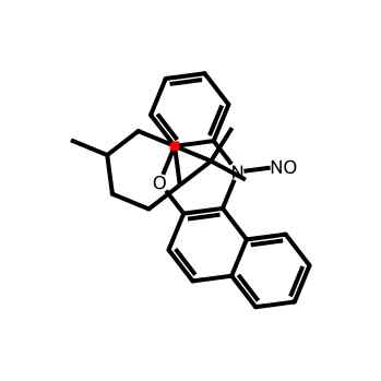 CC1CCC2C(C)(C)C2(Oc2ccc3ccccc3c2N(N=O)c2ccccc2)C1